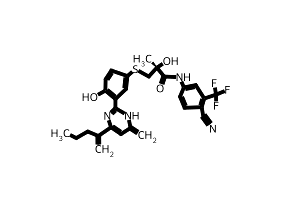 C=C1C=C(C(=C)CCC)N=C(c2cc(SC[C@](C)(O)C(=O)Nc3ccc(C#N)c(C(F)(F)F)c3)ccc2O)N1